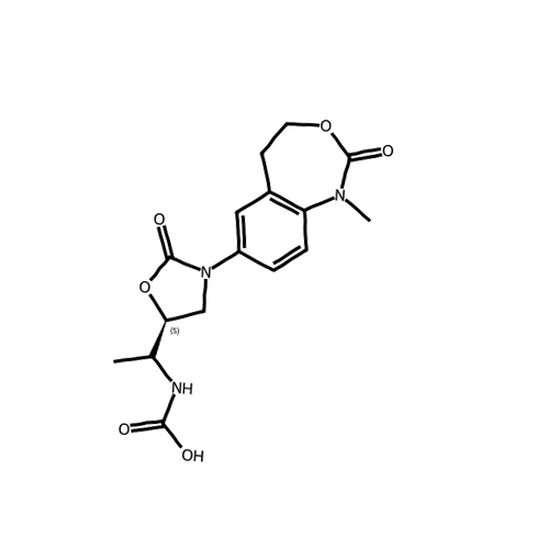 CC(NC(=O)O)[C@@H]1CN(c2ccc3c(c2)CCOC(=O)N3C)C(=O)O1